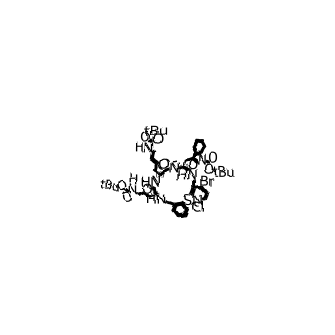 CN1C(=O)[C@H](CCCCNC(=O)OC(C)(C)C)NC(=O)[C@H](CCCNC(=O)OC(C)(C)C)NCc2ccccc2SC2=C(CNC(=O)[C@@H]1Cc1cn(C(=O)OC(C)(C)C)c3ccccc13)C(Br)=CCN2Cl